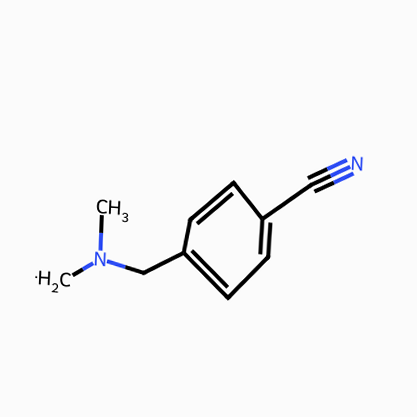 [CH2]N(C)Cc1ccc(C#N)cc1